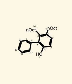 CCCCCCCCc1ccc(O)c(-c2ccccc2)c1CCCCCCCC